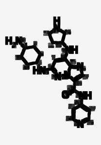 N[C@H]1CC[C@H](Nc2cc(NC3CCNC3)c3ncc(C(=O)Nc4ccncc4)n3n2)CC1